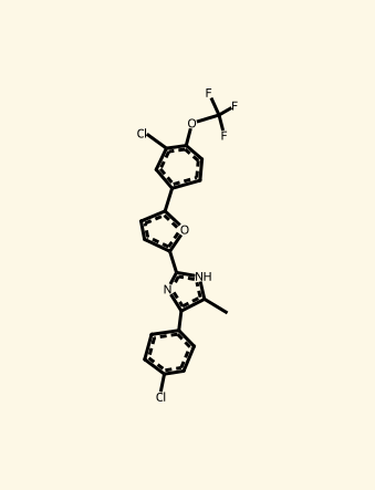 Cc1[nH]c(-c2ccc(-c3ccc(OC(F)(F)F)c(Cl)c3)o2)nc1-c1ccc(Cl)cc1